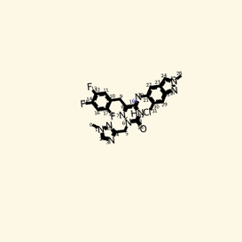 Cn1cnc(Cn2nc(Cc3cc(F)c(F)cc3F)/c(=N/c3cc4cn(C)nc4cc3Cl)[nH]c2=O)n1